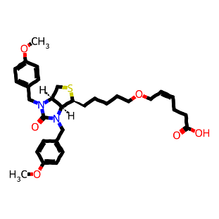 COc1ccc(CN2C(=O)N(Cc3ccc(OC)cc3)[C@H]3CS[C@@H](CCCCCOC/C=C\CCC(=O)O)[C@H]32)cc1